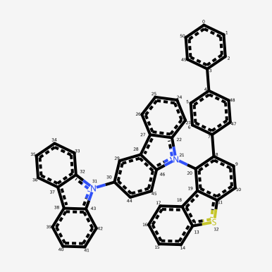 c1ccc(-c2ccc(-c3ccc4sc5ccccc5c4c3-n3c4ccccc4c4cc(-n5c6ccccc6c6ccccc65)ccc43)cc2)cc1